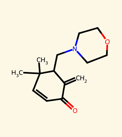 C=C1C(=O)C=CC(C)(C)C1CN1CCOCC1